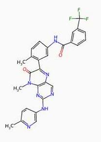 Cc1ccc(Nc2ncc3nc(-c4cc(NC(=O)c5cccc(C(F)(F)F)c5)ccc4C)c(=O)n(C)c3n2)cn1